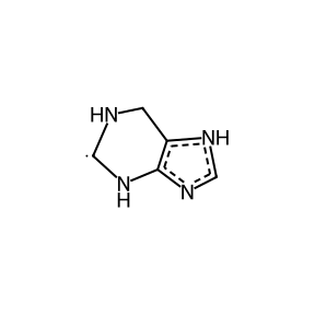 [CH]1NCc2[nH]cnc2N1